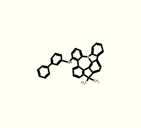 CC1(C)c2cccc3c2-c2c1ccc1c4ccccc4n(c21)-c1cccc(Nc2cccc(-c4ccccc4)c2)c1-3